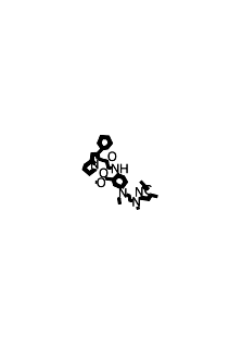 CCN(CCN(C)c1cc(C)cc(C)n1)c1ccc(NC(=O)C(=O)c2c(-c3ccccc3)cc3ccccn23)c(COC)c1